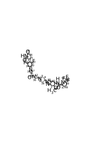 COc1cc2nn(C3CCN(C4CN(C(=O)C5CN(c6cc(F)c([C@H]7CCC(=O)NC7=O)c(F)c6)C5)C4)CC3)cc2cc1NC(=O)c1cccc(C(F)(F)F)n1